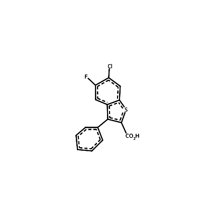 O=C(O)c1sc2cc(Cl)c(F)cc2c1-c1ccccc1